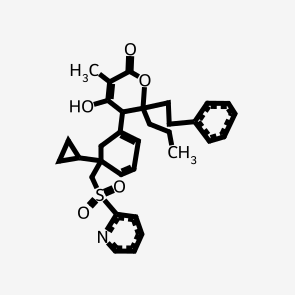 CCCC1(CCc2ccccc2)OC(=O)C(C)=C(O)C1C1=CC=CC(CS(=O)(=O)c2ccccn2)(C2CC2)C1